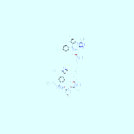 CNC[C@H](NC(=O)[C@@H]1C[C@@H](O)CN1C(=O)[C@@H](NC(=O)COCCCOCCNC(=O)CC1N=C(c2ccc(Cl)cc2)c2c(sc(C)c2C)-n2c(C)nnc21)C(C)(C)C)c1ccc(-c2scnc2C)cc1